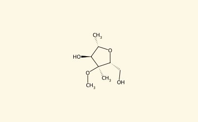 CO[C@]1(C)[C@@H](CO)O[C@@H](C)[C@@H]1O